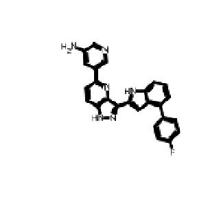 Nc1cncc(-c2ccc3[nH]nc(-c4cc5c(-c6ccc(F)cc6)cccc5[nH]4)c3n2)c1